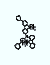 C[Si]1(C)c2ccc(-c3ccccc3)cc2-c2ccc(N(c3ccc(-c4ccccc4)cc3)c3cccc4c3[Si](C)(C)c3ccccc3-4)cc21